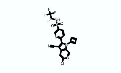 C[C@@H](NS(=O)(=O)c1ccc(-c2c(C#N)c3cc(Cl)ncc3n2C2=CC=C2)nc1)C(F)(F)F